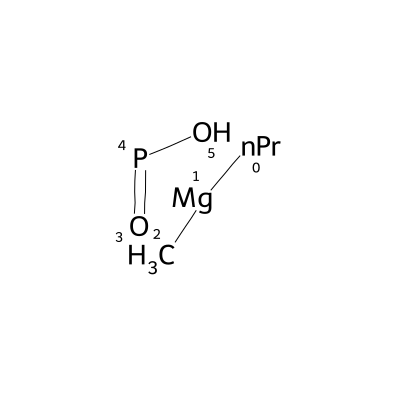 CC[CH2][Mg][CH3].O=PO